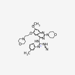 COc1cc2nc(N3CCOCC3)nc(N/C(=N\c3cccc(C)c3)NC#N)c2cc1OCCN1CCOCC1